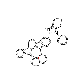 C[n+]1c(-c2ccc3c(c2)c2ccc4c5ccccc5n(-c5ccccc5)c4c2n3-c2ccccc2)n(-c2ccccc2)c2ccccc21